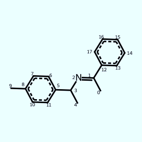 C/C(=N\C(C)c1ccc(C)cc1)c1ccccc1